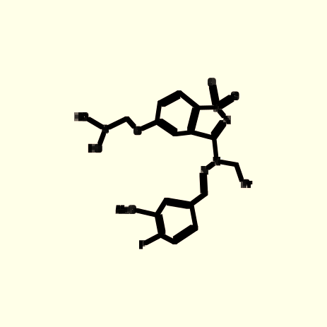 COc1cc(/C=N/N(CC(C)C)C2=NS(=O)(=O)c3ccc(OCB(O)O)cc32)ccc1F